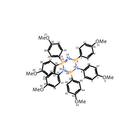 COc1ccc(N2P(c3ccc(OC)cc3)N=P(c3ccc(OC)cc3)(c3ccc(OC)cc3)N(c3ccc(OC)cc3)P2c2ccc(OC)cc2)cc1